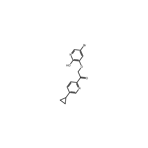 O=C(COc1cc(Br)cnc1O)c1ccc(C2CC2)cn1